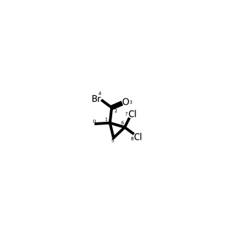 CC1(C(=O)Br)CC1(Cl)Cl